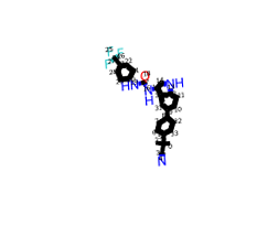 CC(C)(C#N)c1ccc(-c2ccc3[nH]cc(NC(=O)Nc4ccc(C(F)(F)F)cc4)c3c2)cc1